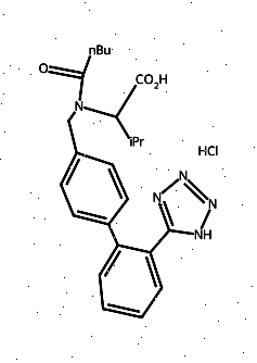 CCCCC(=O)N(Cc1ccc(-c2ccccc2-c2nnn[nH]2)cc1)C(C(=O)O)C(C)C.Cl